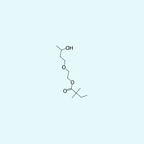 CCC(C)(C)C(=O)OCCOCCC(C)O